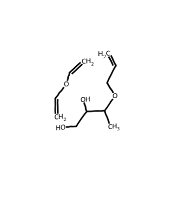 C=CCOC(C)C(O)CO.C=COC=C